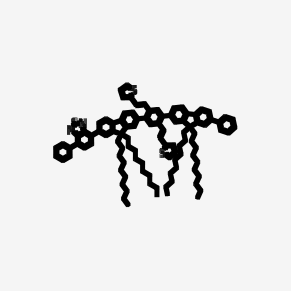 CCCCCCCCCCC1(CCCCCCCCCC)c2cc(-c3ccccc3)ccc2-c2ccc(-c3cc(/C=C/c4cccs4)c(-c4ccc5c(c4)C(CCCCCCCCCC)(CCCCCCCCCC)c4cc(-c6ccc(-c7ccccc7)c7nsnc67)ccc4-5)cc3/C=C/c3cccs3)cc21